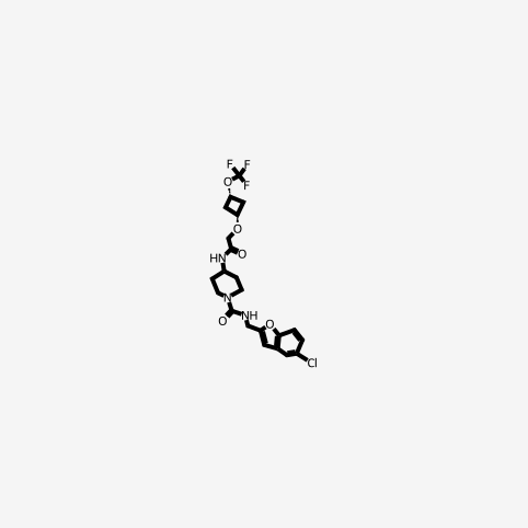 O=C(CO[C@H]1C[C@@H](OC(F)(F)F)C1)NC1CCN(C(=O)NCc2cc3cc(Cl)ccc3o2)CC1